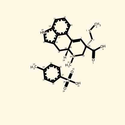 CSC[C@@]1(C(=O)O)C=C2c3cccc4[nH]cc(c34)C[C@H]2N(C)C1.Cc1ccc(S(=O)(=O)O)cc1